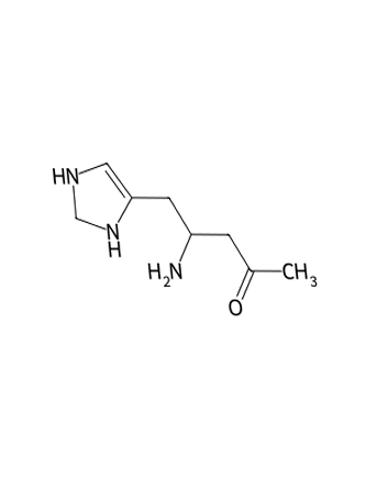 CC(=O)CC(N)CC1=CNCN1